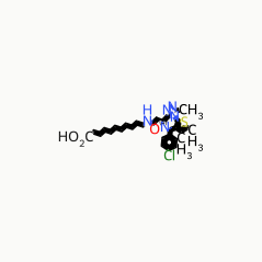 Cc1sc2c(c1C)C(c1ccc(Cl)cc1)=N[C@@H](CC(=O)NCCCCCCCCCCC(=O)O)c1nnc(C)n1-2